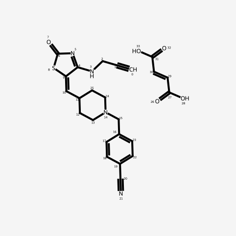 C#CCNC1=NC(=O)SC1=CC1CCN(Cc2ccc(C#N)cc2)CC1.O=C(O)C=CC(=O)O